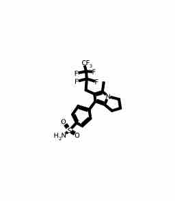 Cc1c(CC(F)(F)C(F)(F)C(F)(F)F)c(-c2ccc(S(N)(=O)=O)cc2)c2n1CCC2